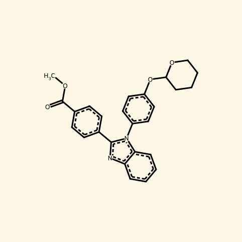 COC(=O)c1ccc(-c2nc3ccccc3n2-c2ccc(OC3CCCCO3)cc2)cc1